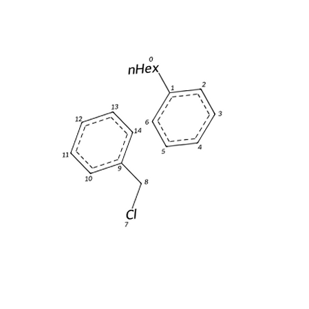 CCCCCCc1ccccc1.ClCc1ccccc1